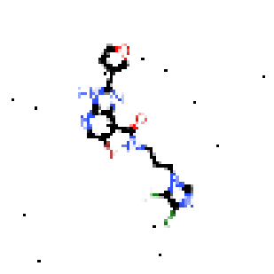 O=C(NCCCn1cnc(Cl)c1Cl)c1c(Br)cnc2[nH]c(-c3ccoc3)nc12